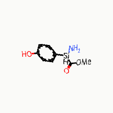 COC(=O)[Si@@H](N)c1ccc(O)cc1